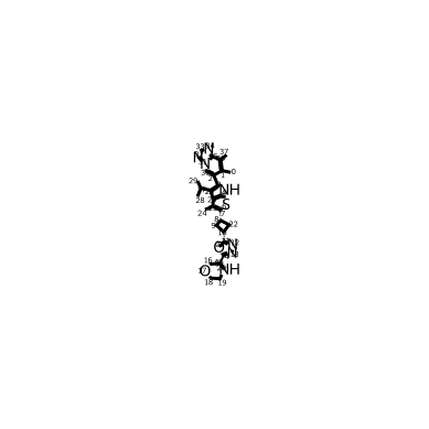 Cc1c(-c2[nH]c3sc([C@H]4C[C@@H](c5nnc([C@@H]6COCCN6)o5)C4)c(C)c3c2C(C)C)cn2ncnc2c1C